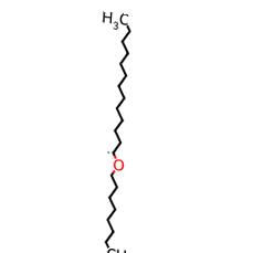 CCCCCCCCCCCC[CH]OCCCCCCCC